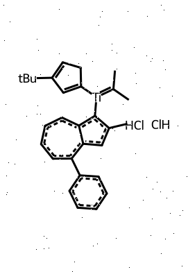 C[C](C)=[Ti]([C]1=CC(C(C)(C)C)=CC1)[c]1c(C)cc2c(-c3ccccc3)ccccc1-2.Cl.Cl